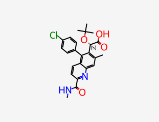 CNC(=O)c1ccc2c(-c3ccc(Cl)cc3)c([C@H](OC(C)(C)C)C(=O)O)c(C)cc2n1